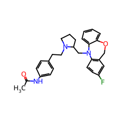 CC(=O)Nc1ccc(CCN2CCCC2CN2c3ccc(F)cc3COc3ccccc32)cc1